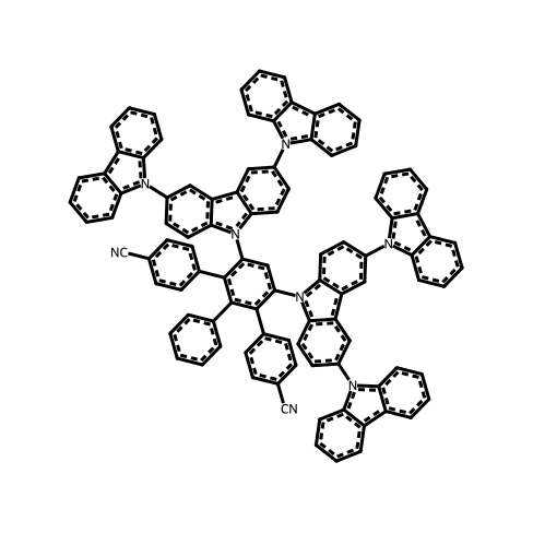 N#Cc1ccc(-c2c(-n3c4ccc(-n5c6ccccc6c6ccccc65)cc4c4cc(-n5c6ccccc6c6ccccc65)ccc43)cc(-n3c4ccc(-n5c6ccccc6c6ccccc65)cc4c4cc(-n5c6ccccc6c6ccccc65)ccc43)c(-c3ccc(C#N)cc3)c2-c2ccccc2)cc1